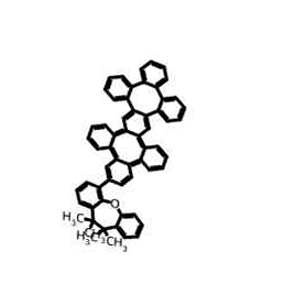 CC1(C)c2ccccc2Oc2c(-c3ccc4c5ccccc5c5cc6c7ccccc7c7ccccc7c7ccccc7c6cc5c5ccccc5c4c3)cccc2C1(C)C